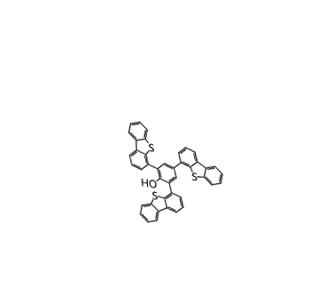 Oc1c(-c2cccc3c2sc2ccccc23)cc(-c2cccc3c2sc2ccccc23)cc1-c1cccc2c1sc1ccccc12